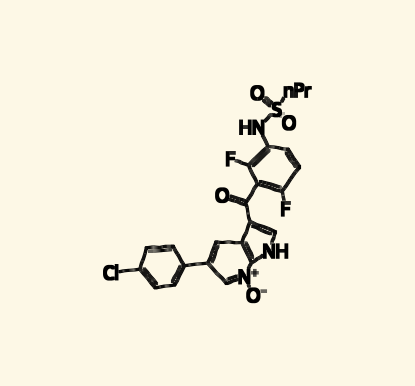 CCCS(=O)(=O)Nc1ccc(F)c(C(=O)c2c[nH]c3c2cc(-c2ccc(Cl)cc2)c[n+]3[O-])c1F